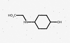 O=C(O)CNC1CCC(O)CC1